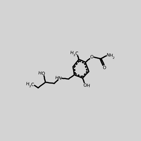 CCC(O)CNCc1cc(C)c(OC(N)=O)cc1O